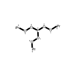 CC(C)OOP(OOC(C)C)OOC(C)C